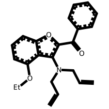 C=CCN(CC=C)c1c(C(=O)c2ccccc2)oc2cccc(OCC)c12